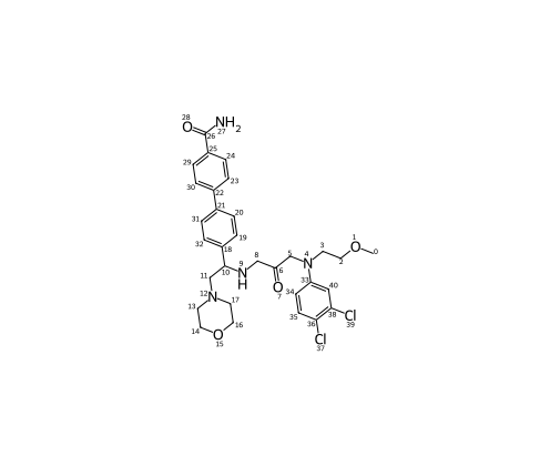 COCCN(CC(=O)CNC(CN1CCOCC1)c1ccc(-c2ccc(C(N)=O)cc2)cc1)c1ccc(Cl)c(Cl)c1